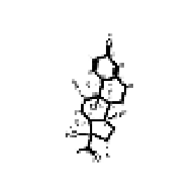 CC(=O)[C@@]1(O)[C@@H](C)C[C@H]2[C@@H]3CCC4=CC(=O)C=C[C@]4(C)[C@@]3(Cl)[C@@H](F)C[C@@]21C